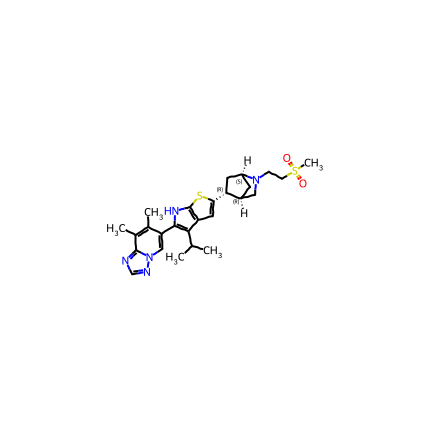 Cc1c(-c2[nH]c3sc([C@@H]4C[C@@H]5C[C@H]4CN5CCS(C)(=O)=O)cc3c2C(C)C)cn2ncnc2c1C